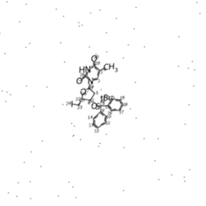 Cc1cn([C@H]2C[C@H](O[Si](c3ccccc3)(c3ccccc3)C(C)(C)C)[C@@H](CI)O2)c(=O)[nH]c1=O